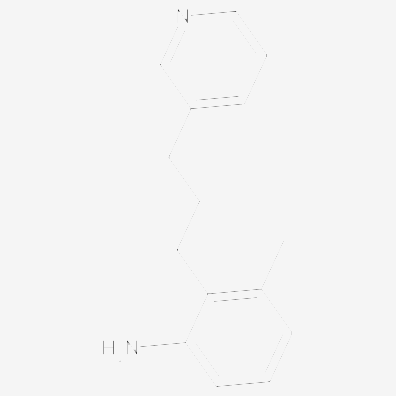 Cc1cccc(N)c1C[CH]Cc1cccnc1